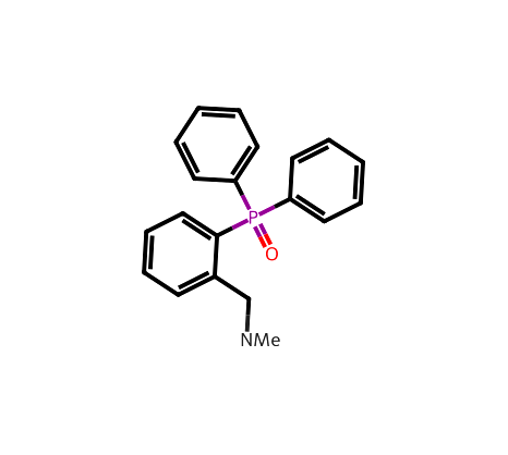 CNCc1ccccc1P(=O)(c1ccccc1)c1ccccc1